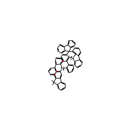 CC1(C)c2ccccc2-c2cc(N(c3ccccc3-c3ccccc3)c3ccccc3-c3cccc4c3-n3c5ccccc5c5cccc(c53)C43c4ccccc4-c4ccccc43)ccc21